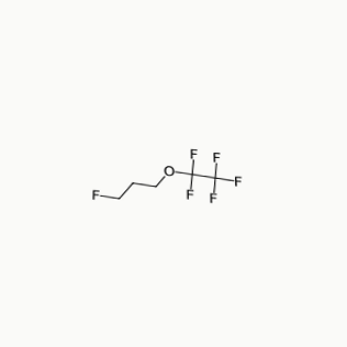 FCCCOC(F)(F)C(F)(F)F